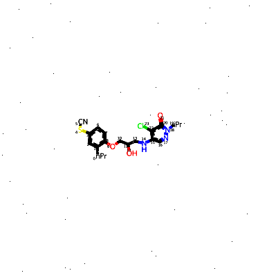 CCCc1cc(SC#N)ccc1OCC(O)CNc1cnn(C(C)C)c(=O)c1Cl